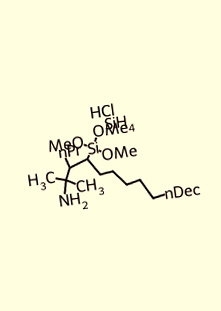 CCCCCCCCCCCCCCCC(C(CCC)C(C)(C)N)[Si](OC)(OC)OC.Cl.[SiH4]